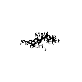 CCN(CC)C(=O)c1ccc(OCC[C@H]2CCC3C4C(CCC32C)c2ccc(OC(C)C)cc2C(=O)[C@H]4C)c(OC)c1